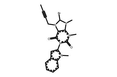 CC#CCN1c2c(n(C)c(=O)n(-c3cc4ccccc4n3C)c2=O)N(C)C1Br